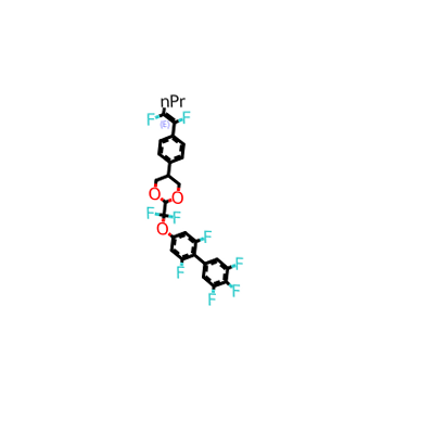 CCC/C(F)=C(\F)c1ccc(C2COC(C(F)(F)Oc3cc(F)c(-c4cc(F)c(F)c(F)c4)c(F)c3)OC2)cc1